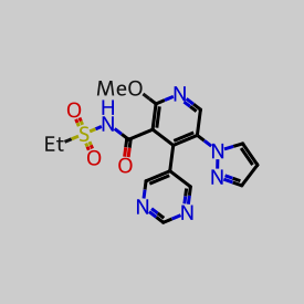 CCS(=O)(=O)NC(=O)c1c(OC)ncc(-n2cccn2)c1-c1cncnc1